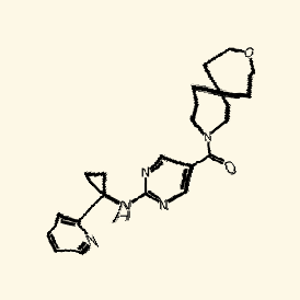 O=C(c1cnc(NC2(c3ccccn3)CC2)nc1)N1CCC2(CCOCC2)C1